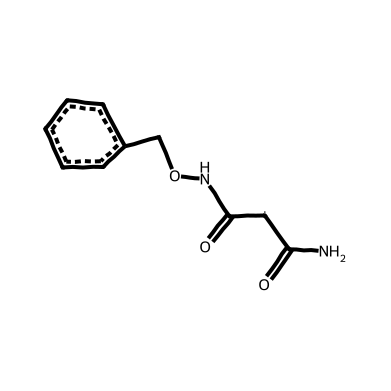 NC(=O)[CH]C(=O)NOCc1ccccc1